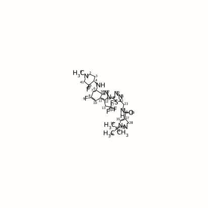 CN1CC[C@@H](Nc2cc(F)cc3c(CC(F)(F)F)n(-c4nnc(CNC(=O)c5cnn(C(C)(C)C)c5)s4)nc23)[C@@H](F)C1